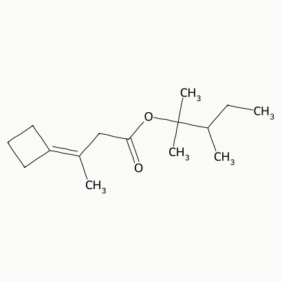 CCC(C)C(C)(C)OC(=O)CC(C)=C1CCC1